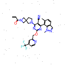 C=CC(=O)N1CC2(CCN(c3nc(OCc4cc(C(F)(F)F)ccn4)nc(-c4c(C)ccc5cnn(C)c45)c3C#N)C2)C1